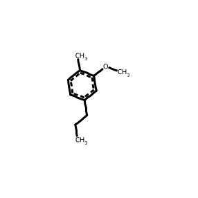 CCCc1ccc(C)c(OC)c1